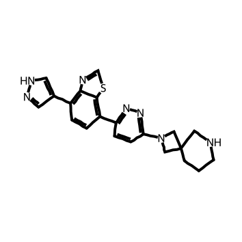 c1nc2c(-c3cn[nH]c3)ccc(-c3ccc(N4CC5(CCCNC5)C4)nn3)c2s1